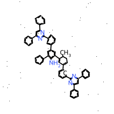 CC1CC=C(c2cccc(-c3nc(-c4ccccc4)cc(-c4ccccc4)n3)c2)C=C1c1cc(-c2cccc(-c3nc(-c4ccccc4)cc(-c4ccccc4)n3)c2)cc(-c2ccccc2)c1N